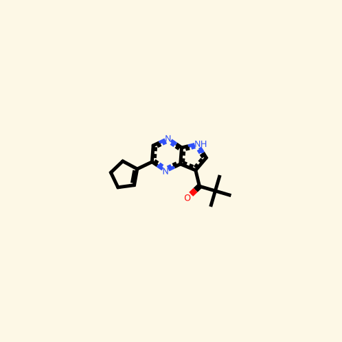 CC(C)(C)C(=O)c1c[nH]c2ncc(C3=CCCC3)nc12